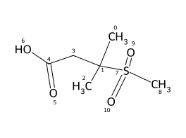 CC(C)(CC(=O)O)S(C)(=O)=O